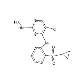 CNc1ncc(Cl)c(Nc2ccccc2S(=O)(=O)C2CC2)n1